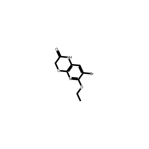 CCOc1nc2c(cc1Br)NC(=O)CO2